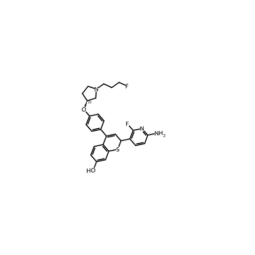 Nc1ccc(C2C=C(c3ccc(O[C@H]4CCN(CCCF)C4)cc3)c3ccc(O)cc3S2)c(F)n1